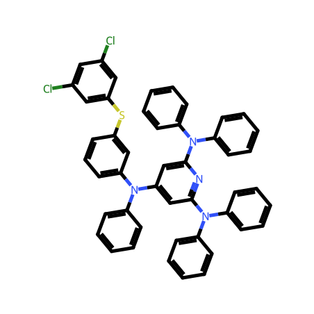 Clc1cc(Cl)cc(Sc2cccc(N(c3ccccc3)c3cc(N(c4ccccc4)c4ccccc4)nc(N(c4ccccc4)c4ccccc4)c3)c2)c1